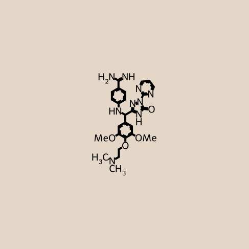 COc1cc(C(Nc2ccc(C(=N)N)cc2)c2nn(-c3ncccn3)c(=O)[nH]2)cc(OC)c1OCCN(C)C